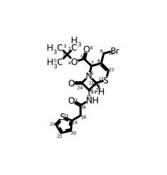 CC(C)(C)OC(=O)C1C(CBr)=CS[C@@H]2[C@H](NC(=O)Cc3cccs3)C(=O)N12